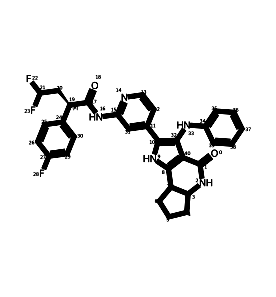 O=C1NC2CCCC2c2[nH]c(-c3ccnc(NC(=O)[C@H](CC(F)F)c4ccc(F)cc4)c3)c(Nc3ccccc3)c21